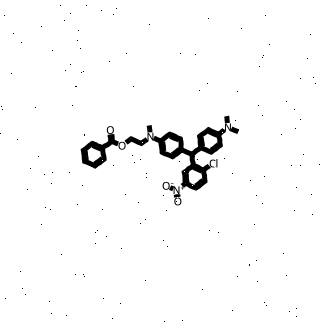 CN(C)c1ccc(C(c2ccc(N(C)CCOC(=O)c3ccccc3)cc2)c2cc([N+](=O)[O-])ccc2Cl)cc1